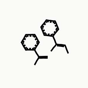 C=C(C)c1ccccc1.CC=C(C)c1ccccc1